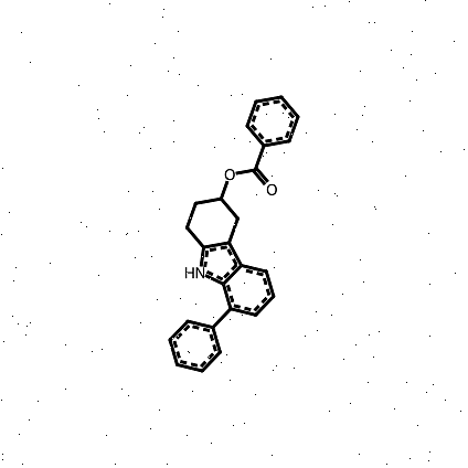 O=C(OC1CCc2[nH]c3c(-c4ccccc4)cccc3c2C1)c1ccccc1